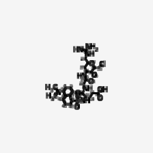 CN(C)c1cccc2c(S(=O)(=O)N[C@@H](CCC(=O)O)C(=O)NCC(=O)N[C@@H](CCCNC(=N)N)C(=O)C(=O)CCl)cccc12